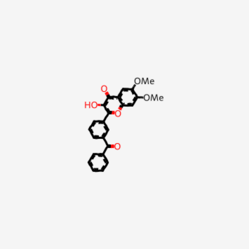 COc1cc2oc(-c3cccc(C(=O)c4ccccc4)c3)c(O)c(=O)c2cc1OC